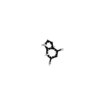 Clc1cc(Br)nc2[nH]ccc12